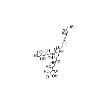 CC[C@@H](O)[C@@H](O)[C@H](O)[C@@H](O)CNC(=O)CCC(NC(=O)CCOCCn1cc(CC(C)(C)C)nn1)C(=O)NC[C@H](O)[C@@H](O)[C@H](O)[C@H](O)CO